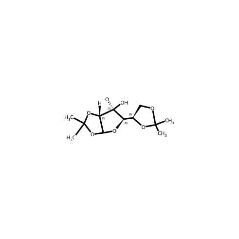 CC1(C)OC[C@H]([C@H]2OC3OC(C)(C)O[C@@H]3[C@@]2([O])O)O1